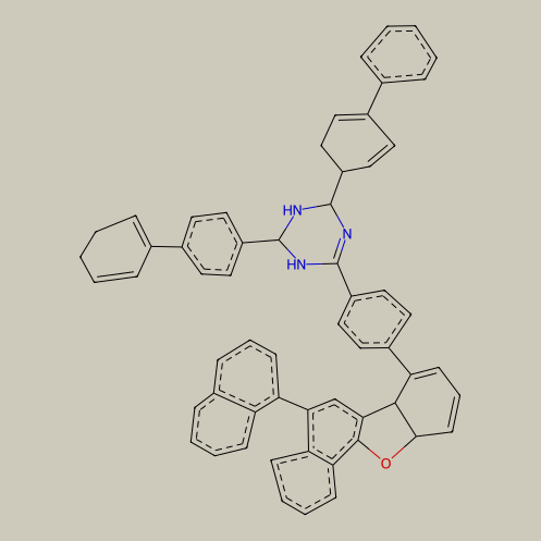 C1=CC2Oc3c(cc(-c4cccc5ccccc45)c4ccccc34)C2C(c2ccc(C3=NC(C4C=CC(c5ccccc5)=CC4)NC(c4ccc(C5=CCCC=C5)cc4)N3)cc2)=C1